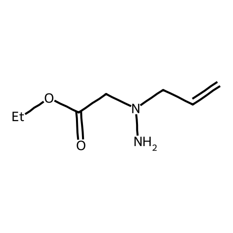 C=CCN(N)CC(=O)OCC